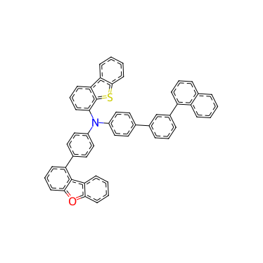 c1cc(-c2ccc(N(c3ccc(-c4cccc5oc6ccccc6c45)cc3)c3cccc4c3sc3ccccc34)cc2)cc(-c2cccc3ccccc23)c1